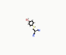 N#CC(C#N)=CSc1ccc(Br)cc1